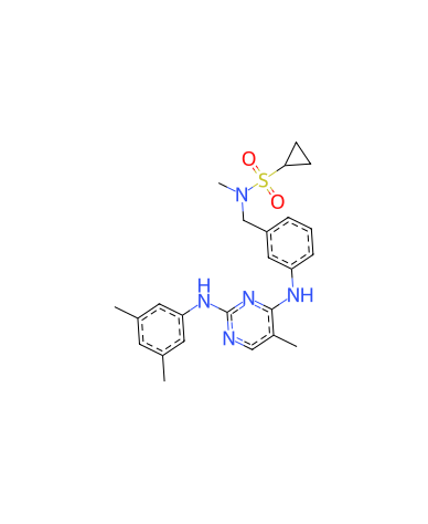 Cc1cc(C)cc(Nc2ncc(C)c(Nc3cccc(CN(C)S(=O)(=O)C4CC4)c3)n2)c1